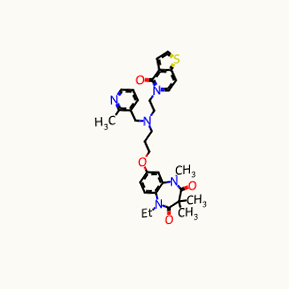 CCN1C(=O)C(C)(C)C(=O)N(C)c2cc(OCCCN(CCn3ccc4sccc4c3=O)Cc3cccnc3C)ccc21